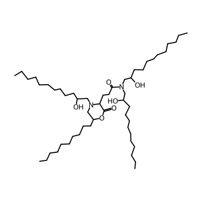 CCCCCCCCCCC(O)CN(CC(O)CCCCCCCCCC)C(=O)CCC1C(=O)OC(CCCCCCCCCC)CN1CC(O)CCCCCCCCCC